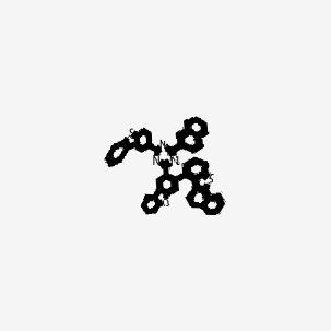 c1ccc2cc(-c3nc(-c4ccc5sc6ccccc6c5c4)nc(-c4cc5c(cc4-c4cccc6sc7c8ccccc8ccc7c46)oc4ccccc45)n3)ccc2c1